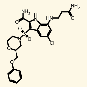 NC(=O)CCNc1cc(Cl)cc2c(S(=O)(=O)N3CCO[C@H](COc4ccccc4)C3)c(C(N)=O)[nH]c12